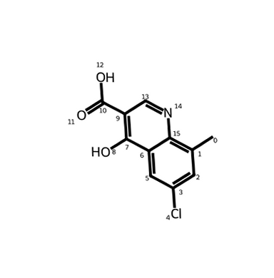 Cc1cc(Cl)cc2c(O)c(C(=O)O)cnc12